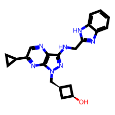 O[C@H]1C[C@@H](Cn2nc(NCc3nc4ccccc4[nH]3)c3ncc(C4CC4)nc32)C1